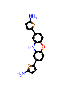 Nc1ccc(-c2ccc3c(c2)Nc2cc(-c4ccc(N)s4)ccc2O3)s1